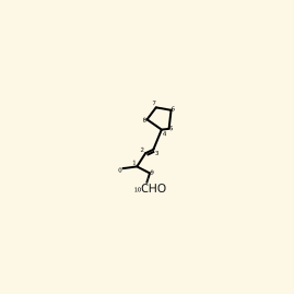 CC(C=CC1CCCC1)CC=O